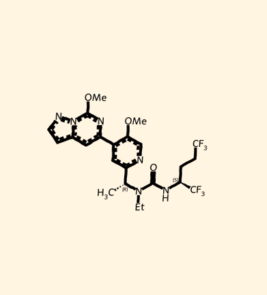 CCN(C(=O)N[C@@H](CCC(F)(F)F)C(F)(F)F)[C@H](C)c1cc(-c2cc3ccnn3c(OC)n2)c(OC)cn1